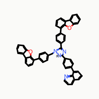 c1cnc2c(-c3ccc(C4N=C(c5ccc(-c6cccc7c6oc6ccccc67)cc5)N5C(c6ccc(-c7cccc8c7oc7ccccc78)cc6)[N@]45)cc3)cccc2c1